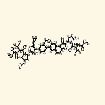 COC[C@H]1C[C@@H](c2nc(C3CC3)c(-c3ccc4c(c3)COc3cc5c(ccc6nc([C@@H]7CC[C@H](C)N7C(=O)[C@@H](NC(=O)OC)C(C)C)[nH]c65)cc3-4)[nH]2)N(C(=O)[C@@H](NC(=O)OC)C(C)C)C1